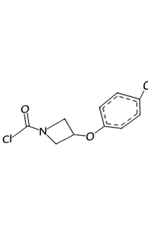 O=C(Cl)N1CC(Oc2ccc(Cl)cc2)C1